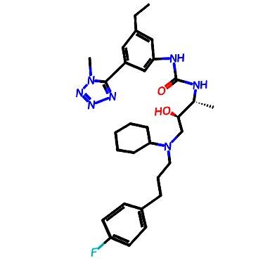 CCc1cc(NC(=O)N[C@H](C)[C@H](O)CN(CCCc2ccc(F)cc2)C2CCCCC2)cc(-c2nnnn2C)c1